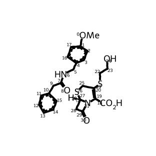 COc1ccc(CNC(=O)Cc2ccccc2)cc1.O=C(O)C1=C(SCCO)CS[C@H]2CC(=O)N12